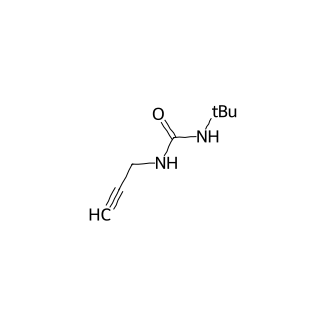 C#CCNC(=O)NC(C)(C)C